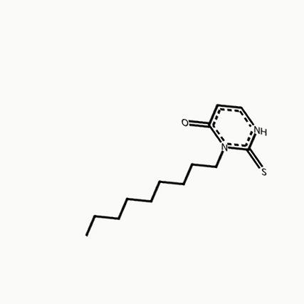 CCCCCCCCCn1c(=O)cc[nH]c1=S